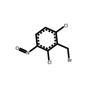 O=Nc1ccc(Cl)c(CBr)c1Cl